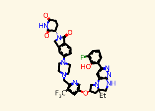 CC[C@]12CNc3nnc(-c4cccc(F)c4O)cc3N1C[C@H](Oc1cnc(CN3CCN(c4ccc5c(c4)CN([C@H]4CCC(=O)NC4=O)C5=O)CC3)c(C(F)(F)F)c1)C2